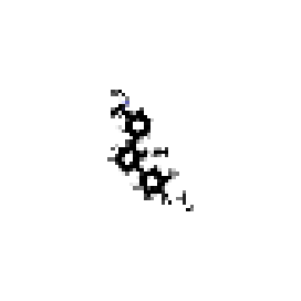 C/N=C(\C)c1cccc(-c2cccc(-c3ccc(N)c(C)c3)c2O)c1